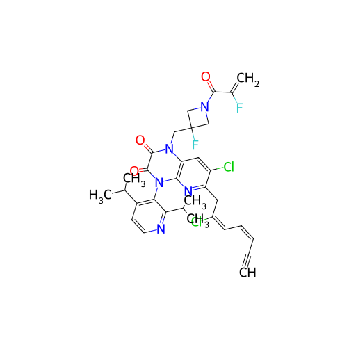 C#C/C=C\C=C(\Cl)Cc1nc2c(cc1Cl)n(CC1(F)CN(C(=O)C(=C)F)C1)c(=O)c(=O)n2-c1c(C(C)C)ccnc1C(C)C